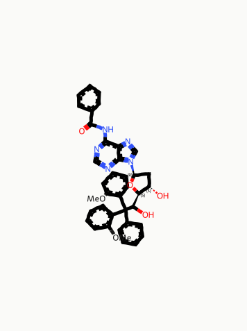 COc1ccccc1C(c1ccccc1)(c1ccccc1OC)C(O)[C@H]1O[C@@H](n2cnc3c(NC(=O)c4ccccc4)ncnc32)C[C@@H]1O